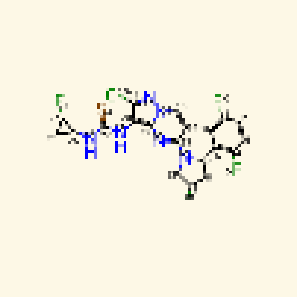 Fc1ccc(F)c([C@H]2C[C@@H](F)CN2c2ccn3nc(Cl)c(NC(=S)N[C@H]4C[C@H]4F)c3n2)c1